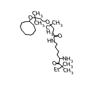 CCC(C)(C)C(=O)C(N)CCCCNC(=O)CCC(C)(C)OCCC(C)(C)OC1CCCCCCCCC1